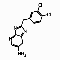 NC1=CN=C2N=C(Cc3ccc(Cl)c(Cl)c3)N=C2C1